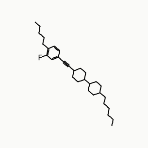 CCCCCCC1CCC(C2CCC(C#Cc3ccc(CCCCC)c(F)c3)CC2)CC1